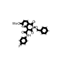 COc1ccc2c(n1)C(C(=O)Nc1ccc(F)cc1)C(=O)N(OCc1ccccc1)C2=O